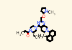 C=CC(=O)N1CCN(c2nc(CO[C@@H]3CCCN3C)nc3c2CCN(c2cccc4cccc(C)c24)C3)C[C@@H]1CC#N